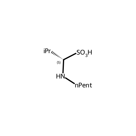 CCCCCN[C@H](C(C)C)S(=O)(=O)O